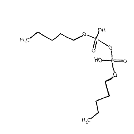 CCCCCOP(=O)(O)OP(=O)(O)OCCCCC